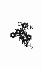 N#Cc1ncc(Cl)cc1SC1OC2COC(c3ccccc3)OC2C(n2cc(-c3csc(N)n3)nn2)C1OCc1ccccc1